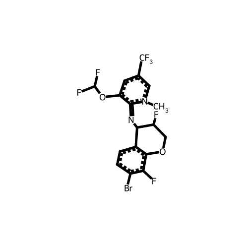 Cn1cc(C(F)(F)F)cc(OC(F)F)/c1=N/C1c2ccc(Br)c(F)c2OCC1F